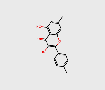 Cc1ccc(-c2oc3cc(C)cc(O)c3c(=O)c2O)cc1